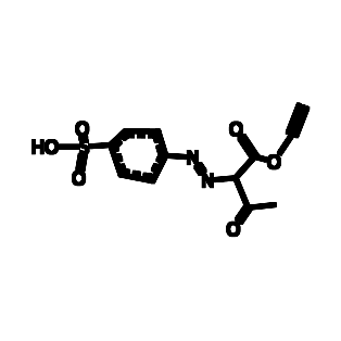 C#COC(=O)C(N=Nc1ccc(S(=O)(=O)O)cc1)C(C)=O